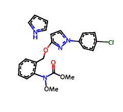 COC(=O)N(OC)c1ccccc1COc1ccn(-c2ccc(Cl)cc2)n1.c1cc[nH]c1